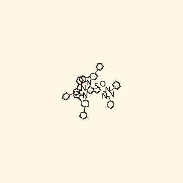 O=c1sc2c(-n3c4ccccc4c4cc(-c5ccccc5)ccc43)c(-n3c4ccccc4c4cc(-c5ccccc5)ccc43)c(-n3c4ccccc4c4cc(-c5ccccc5)ccc43)cc2cc1-c1nc(-c2ccccc2)nc(-c2ccccc2)n1